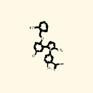 Cc1ccccc1COc1ccc(Cl)cc1-c1ccc(C)n1-c1ccc(C)c(C(=O)O)c1